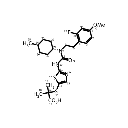 COc1ccc(CCN(C(=O)Nc2ncc(SC(C)(C)C(=O)O)s2)[C@H]2CC[C@H](C)CC2)c(F)c1